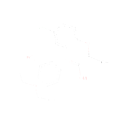 CC(Oc1ccc(Cl)cc1)C(=O)O.CCOCC.Oc1ccccc1